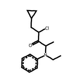 CCN(c1ccccc1)C(C)C(=O)C(Cl)CC1CC1